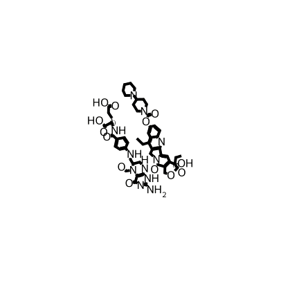 CCc1c2c(nc3ccc(OC(=O)N4CCC(N5CCCCC5)CC4)cc13)-c1cc3c(c(=O)n1C2)COC(=O)[C@]3(O)CC.Nc1nc(=O)c2c([nH]1)NCC(CNc1ccc(C(=O)N[C@@H](CCC(=O)O)C(=O)O)cc1)N2C=O